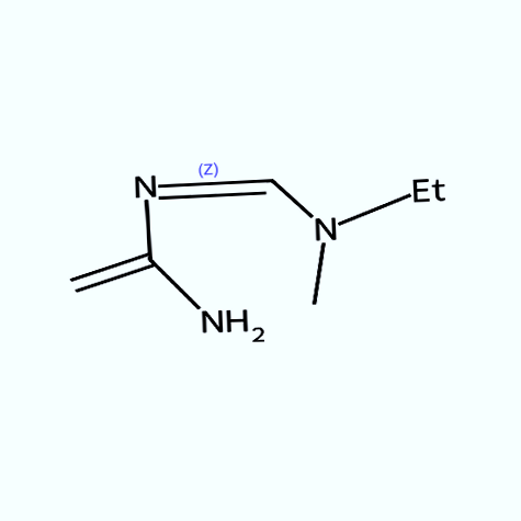 C=C(N)/N=C\N(C)CC